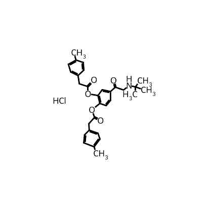 Cc1ccc(CC(=O)Oc2ccc(C(=O)CNC(C)(C)C)cc2OC(=O)Cc2ccc(C)cc2)cc1.Cl